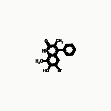 Cc1c(-c2ccccc2)c2cc(Br)c(O)c(C)c2[nH]c1=O